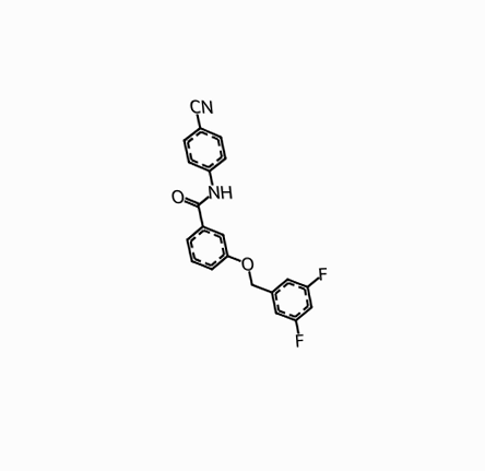 N#Cc1ccc(NC(=O)c2cccc(OCc3cc(F)cc(F)c3)c2)cc1